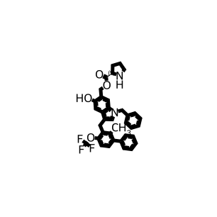 Cc1c(-c2ccccc2)ccc(OC(F)(F)F)c1Cc1cn(Cc2ccccc2)c2cc(COC(=O)[C@@H]3CCCN3)c(O)cc12